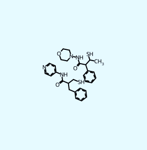 CC(S)C(C(=O)NN1CCOCC1)c1ccccc1.O=C(Nc1ccncc1)C(CS)Cc1ccccc1